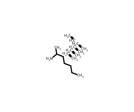 C=C.C=C.C=C.C=C.C=C.CCCCCC(C)N